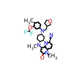 Cc1ccc(N(CC2CCOC2)[C@H]2CC[C@@H](N(C)c3cc(=O)n(C)c4ccc(C#N)nc34)CC2)cc1OC(F)F